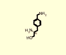 NCc1ccc(C[C@@H](N)CO)cc1